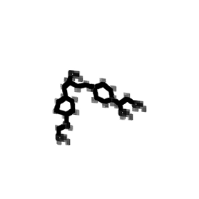 CCOC1CCC(CC(C)CCN2CCN(C(C)CC)CC2)CC1